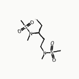 [CH2]CC(CCN(C)S(C)(=O)=O)N(C)S(C)(=O)=O